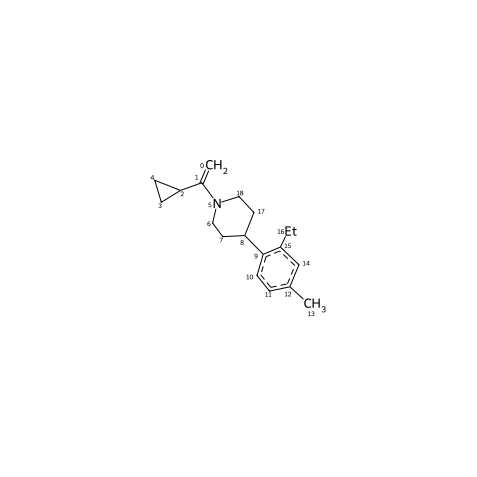 C=C(C1CC1)N1CCC(c2ccc(C)cc2CC)CC1